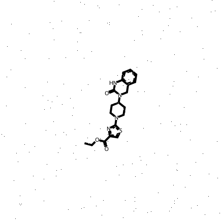 CCOC(=O)c1csc(N2CCC(N3Cc4ccccc4NC3=O)CC2)n1